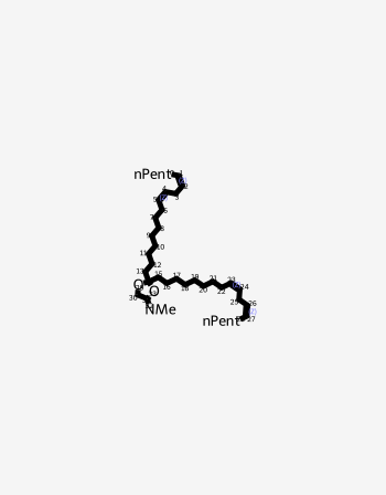 CCCCC/C=C\C/C=C\CCCCCCCCC1(CCCCCCCC/C=C\C/C=C\CCCCC)OCC(NC)O1